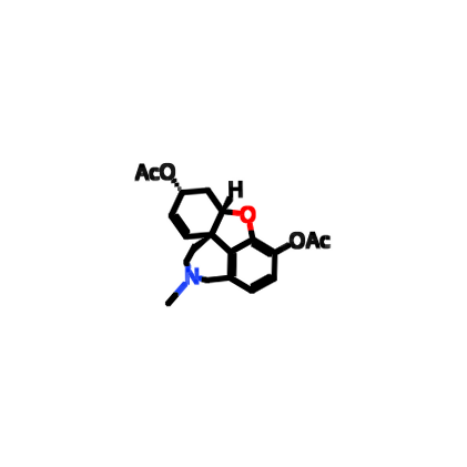 CC(=O)Oc1ccc2c3c1O[C@H]1C[C@@H](OC(C)=O)C=C[C@@]31CCN(C)C2